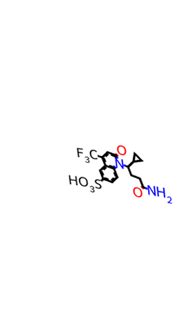 NC(=O)CCC(C1CC1)n1c(=O)cc(C(F)(F)F)c2cc(S(=O)(=O)O)ccc21